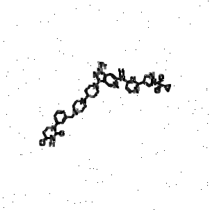 CC(C)n1nc(N2CCC(N3CCN(Cc4cccc(N5CCC(=O)NC5=O)c4)CC3)CC2)c2cnc(Nc3ccnc(-c4cnn(S(=O)(=O)C5CC5)c4)n3)cc21